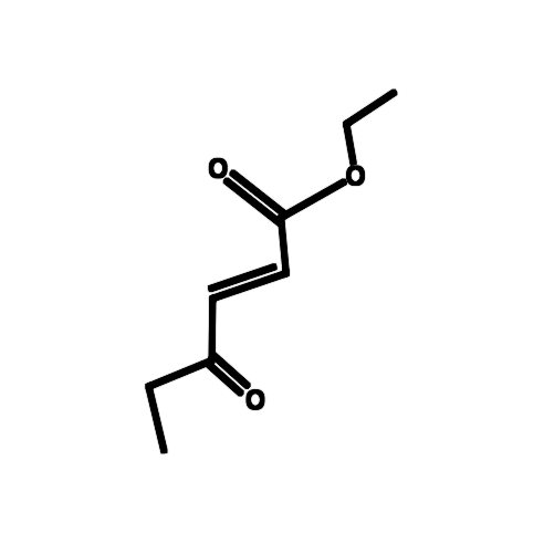 CCOC(=O)/C=C/C(=O)CC